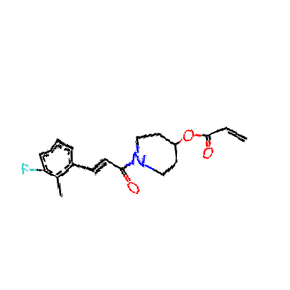 C=CC(=O)OC1CCN(C(=O)/C=C/c2cccc(F)c2C)CC1